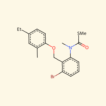 CCc1ccc(OCc2c(Br)cccc2N(C)C(=O)SC)c(C)c1